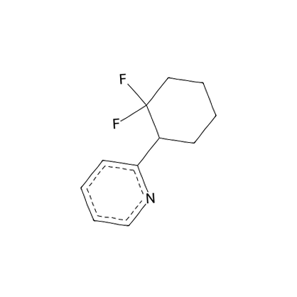 FC1(F)CCCCC1c1ccccn1